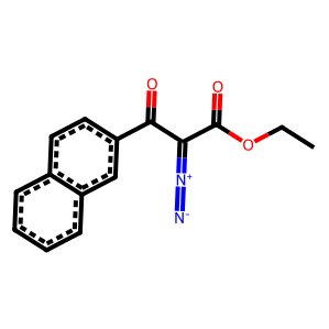 CCOC(=O)C(=[N+]=[N-])C(=O)c1ccc2ccccc2c1